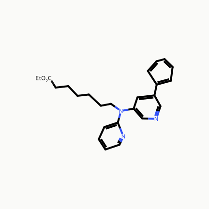 CCOC(=O)CCCCCCN(c1cncc(-c2ccccc2)c1)c1ccccn1